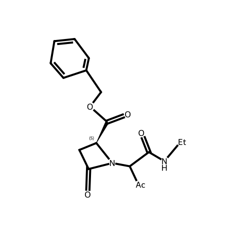 CCNC(=O)C(C(C)=O)N1C(=O)C[C@H]1C(=O)OCc1ccccc1